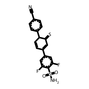 N#Cc1ccc(C2C=CC(c3cc(F)c(S(N)(=O)=O)c(F)c3)=CC2=S)cc1